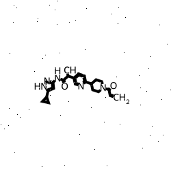 C=CC(=O)N1CCC(c2ccc(C(C)C(=O)Nc3cc(C4CC4)[nH]n3)cn2)CC1